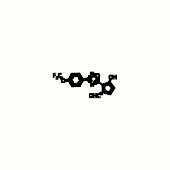 O=CN1CC[C@H](O)[C@H]1c1nc(-c2ccc(OC(F)(F)F)cc2)no1